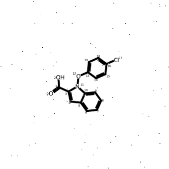 O=C(O)c1cc2ccccc2n1Oc1ccc(Cl)cc1